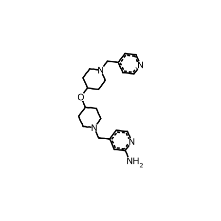 Nc1cc(CN2CCC(OC3CCN(Cc4ccncc4)CC3)CC2)ccn1